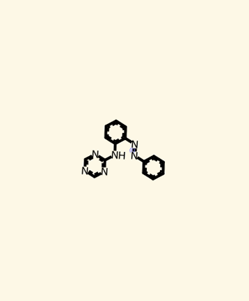 c1ccc(/N=N/c2ccccc2Nc2ncncn2)cc1